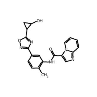 Cc1ccc(-c2noc(C3CC3O)n2)cc1NC(=O)c1cnc2ccccn12